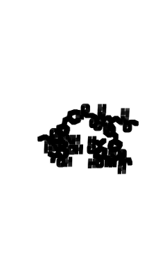 CCNC(=O)C(=N)N(C(=N)c1cc(C(C)C)c(O)cc1O)c1ccc(CC2CCN(C(=O)CCC(=O)N[C@@H](CCCCNC(=O)CC)C(=O)N3CCC(Cc4ccc(-n5c(C(=O)NCC)nnc5-c5cc(C(C)C)c(O)cc5O)cc4)CC3)CC2)cc1